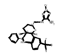 Nc1n[s+]([O-])nc1NC[C@H]1CC[C@@H]2[C@H](O1)c1cc(C(F)(F)F)ccc1N[C@H]2c1ccccc1